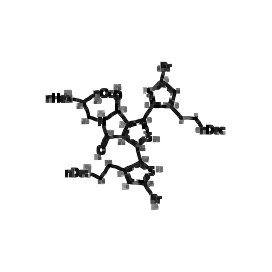 CCCCCCCCCCCCc1cc(Br)sc1-c1sc(-c2sc(Br)cc2CCCCCCCCCCCC)c2c1C(=O)N(CC(CCCCCC)CCCCCCCC)C2=O